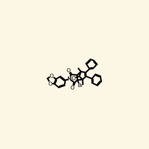 CC12C(c3ccccc3)=C(c3ccccc3)C(C)(C1O)C1(Br)C(=O)N(c3ccc4c(c3)OCO4)C(=O)C21